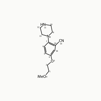 COCCOc1ccc(N2CCNCC2)c(C#N)c1